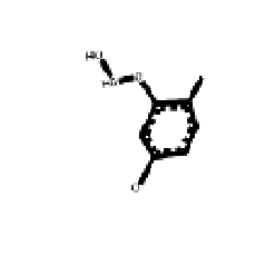 Cc1ccc(Cl)cc1OBO